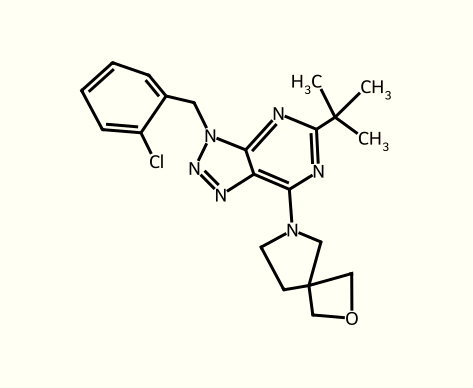 CC(C)(C)c1nc(N2CCC3(COC3)C2)c2nnn(Cc3ccccc3Cl)c2n1